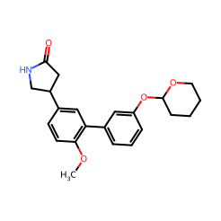 COc1ccc(C2CNC(=O)C2)cc1-c1cccc(OC2CCCCO2)c1